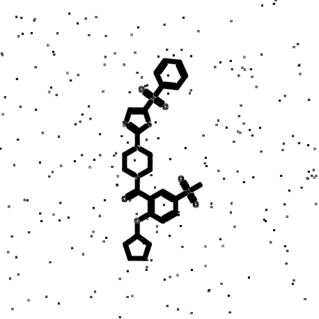 CS(=O)(=O)c1ccc(OC2CCCC2)c(C(=O)N2CCN(c3ncc(S(=O)(=O)c4ccccc4)s3)CC2)c1